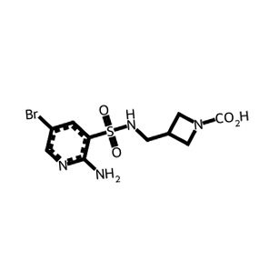 Nc1ncc(Br)cc1S(=O)(=O)NCC1CN(C(=O)O)C1